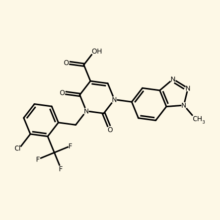 Cn1nnc2cc(-n3cc(C(=O)O)c(=O)n(Cc4cccc(Cl)c4C(F)(F)F)c3=O)ccc21